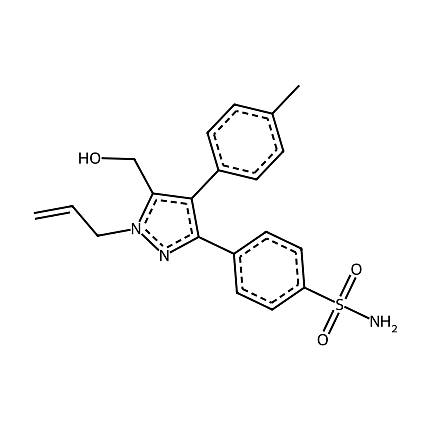 C=CCn1nc(-c2ccc(S(N)(=O)=O)cc2)c(-c2ccc(C)cc2)c1CO